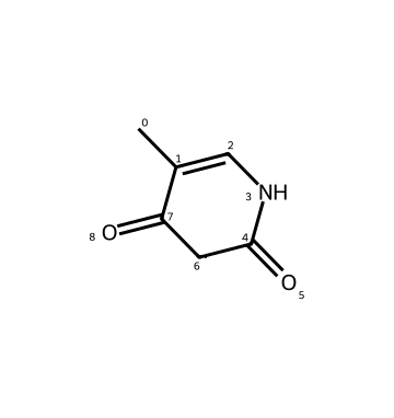 CC1=CNC(=O)[CH]C1=O